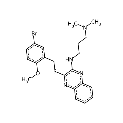 COc1ccc(Br)cc1CSc1nc2ccccc2nc1NCCCN(C)C